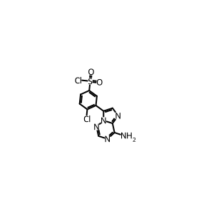 Nc1ncnn2c(-c3cc(S(=O)(=O)Cl)ccc3Cl)cnc12